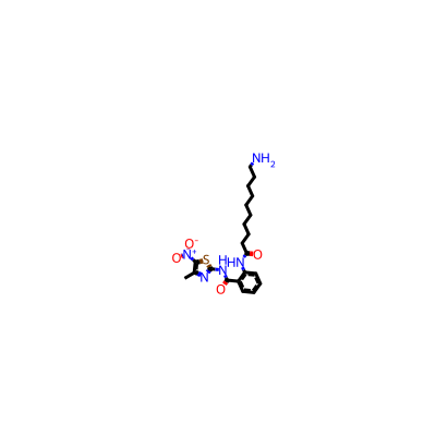 Cc1nc(NC(=O)c2ccccc2NC(=O)CCCCCCCCCN)sc1[N+](=O)[O-]